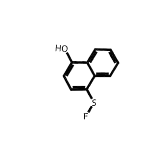 Oc1ccc(SF)c2ccccc12